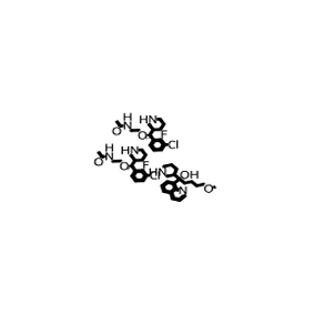 CC(=O)NCCO[C@@H](c1cccc(Cl)c1F)C1CCCNC1.CC(=O)NCCO[C@H](c1cccc(Cl)c1F)C1CCCNC1.COCCCC[C@@](O)(c1cccc2cccnc12)C1CCCNC1